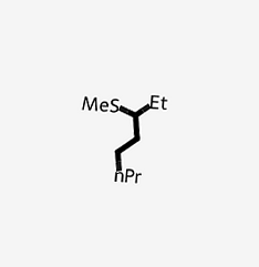 [CH2]CC(CCCCC)SC